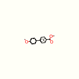 COC(=O)C12CCC(c3ccc(OC)cc3)(CC1)CC2